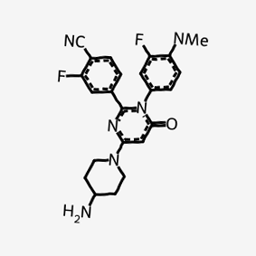 CNc1ccc(-n2c(-c3ccc(C#N)c(F)c3)nc(N3CCC(N)CC3)cc2=O)cc1F